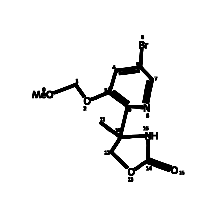 COCOc1cc(Br)cnc1C1(C)COC(=O)N1